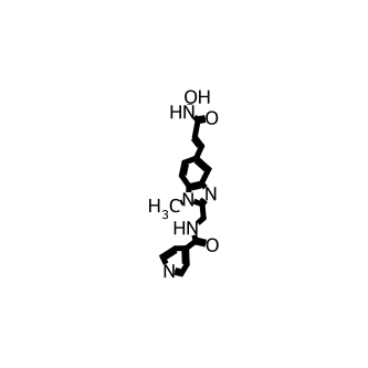 Cn1c(CNC(=O)c2ccncc2)nc2cc(/C=C/C(=O)NO)ccc21